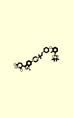 Cc1c(O[C@H]2CC[C@H](CCC(C)(C)N3CCN(c4ccc5c(C6CCC(=O)NC6=O)nn(C)c5c4)CC3)CC2)cccc1B1OC(C)(C)C(C)(C)O1